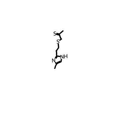 CC(=S)CSCCc1nc(C)c[nH]1